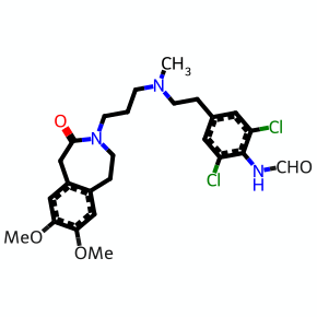 COc1cc2c(cc1OC)CC(=O)N(CCCN(C)CCc1cc(Cl)c(NC=O)c(Cl)c1)CC2